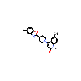 Cc1ccc2oc(C3CCN(c4cc(=O)n(C)c5ccc(C#N)cc45)CC3)nc2c1